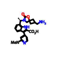 CNc1cc(-c2c(C(=O)O)[nH]c3c([C@H](C)N4CC5(CC(CN)C5)OC4=O)cccc23)ccn1